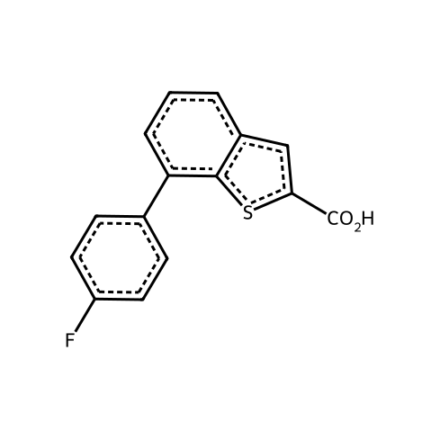 O=C(O)c1cc2cccc(-c3ccc(F)cc3)c2s1